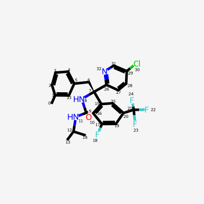 Cc1cccc(C[C@](NC(=O)NC(C)C)(c2cc(F)cc(C(F)(F)F)c2)c2ccc(Cl)cn2)c1